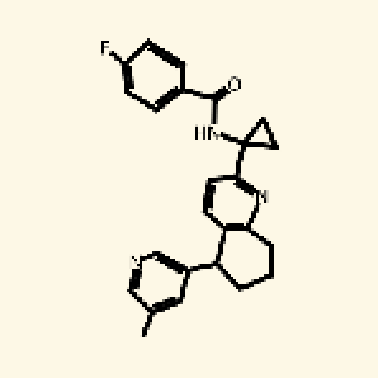 Cc1cncc(C2CCCc3nc(C4(NC(=O)c5ccc(F)cc5)CC4)ccc32)c1